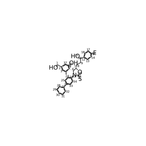 OCc1ccc([C@@H]2[C@@H](CCC(O)c3ccc(F)cc3)OC(=S)N2c2ccc(-c3ccccc3)cc2)c(O)c1